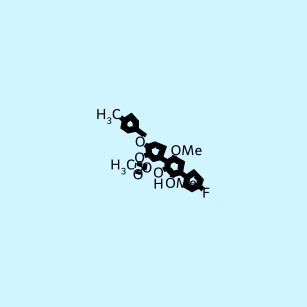 COc1cc(-c2ccc(F)cc2)c(OC)c(O)c1-c1ccc(OCc2ccc(C)cc2)c(OS(C)(=O)=O)c1